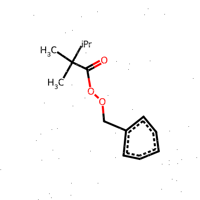 CC(C)C(C)(C)C(=O)OOCc1ccccc1